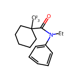 CCN(C(=O)C1(C(F)(F)F)CCCCC1)c1ccccc1